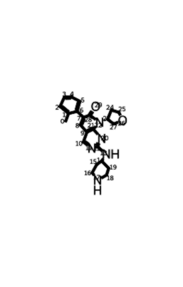 Cc1ccccc1-c1cc2cnc(NC3CCNCC3)nc2n([C@@H]2CCOC2)c1=O